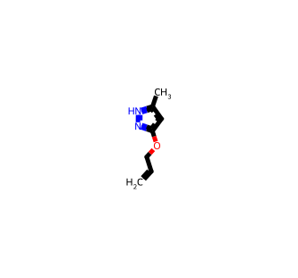 C=CCOc1cc(C)[nH]n1